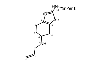 C=CCNC1CCc2nc(NCCCCC)sc2C1